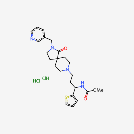 COC(=O)NC(CCN1CCC2(CC1)CCN(Cc1cccnc1)C2=O)c1cccs1.Cl.Cl